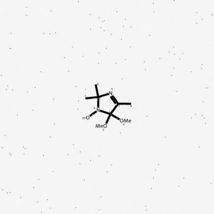 COC1(OC)C(C)=NC(C)(C)N1[O]